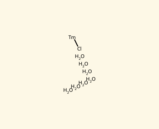 O.O.O.O.O.O.O.[Cl][Tm]